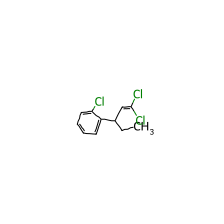 CCC(C=C(Cl)Cl)c1ccccc1Cl